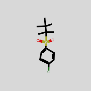 CC(C)(C)C(C)(C)S(=O)(=O)c1ccc(Cl)cc1